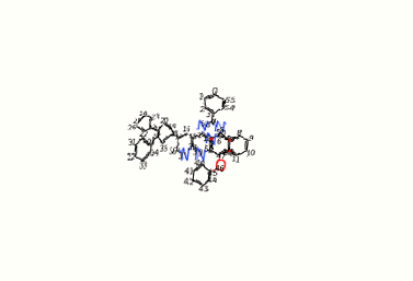 c1ccc(-c2nc(-c3ccccc3)nc(-c3cc(-c4ccc(-c5ccccc5)c(-c5ccccc5)c4)cnc3N3c4ccccc4Oc4ccccc43)n2)cc1